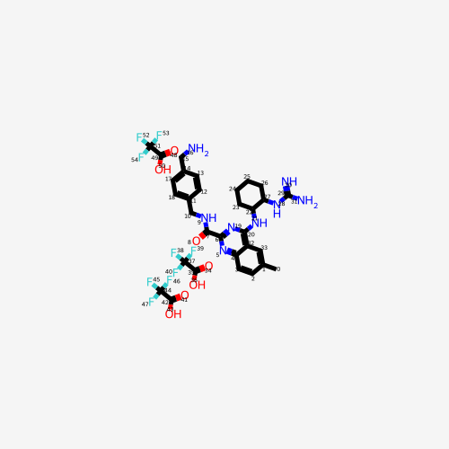 Cc1ccc2nc(C(=O)NCc3ccc(CN)cc3)nc(NC3CCCCC3NC(=N)N)c2c1.O=C(O)C(F)(F)F.O=C(O)C(F)(F)F.O=C(O)C(F)(F)F